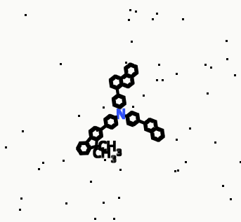 CC1(C)c2ccccc2-c2ccc(-c3ccc(N(c4c#cc(-c5ccc6ccccc6c5)cc4)c4ccc(-c5cccc6c5ccc5ccccc56)cc4)cc3)cc21